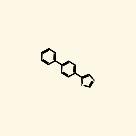 [c]1ccc(-c2ccc(-c3cnco3)cc2)cc1